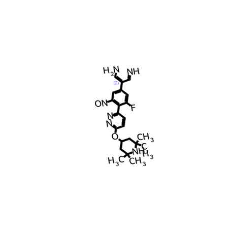 CC1(C)CC(Oc2ccc(-c3c(F)cc(/C(C=N)=C/N)cc3N=O)nn2)CC(C)(C)N1